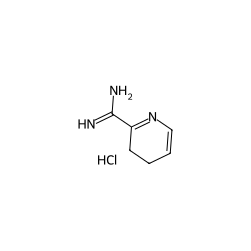 Cl.N=C(N)C1=NC=CCC1